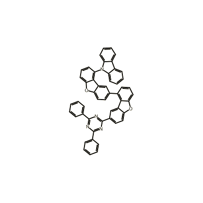 c1ccc(-c2nc(-c3ccccc3)nc(-c3ccc4oc5cccc(-c6ccc7oc8cccc(-n9c%10ccccc%10c%10ccccc%109)c8c7c6)c5c4c3)n2)cc1